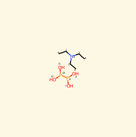 CCN(CC)CC.OP(O)P(O)O